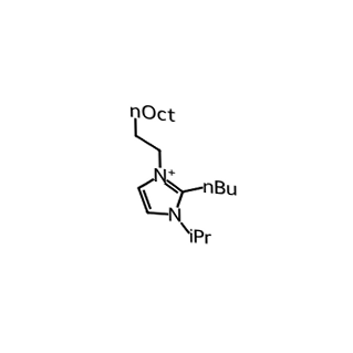 CCCCCCCCCC[n+]1ccn(C(C)C)c1CCCC